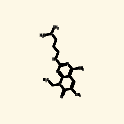 CCn1c(=O)c(C)cc2c(C)nc(NCCCN(C)C)nc21